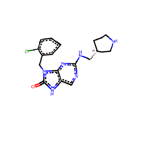 O=c1[nH]c2cnc(NC[C@@H]3CCNC3)nc2n1Cc1ccccc1Cl